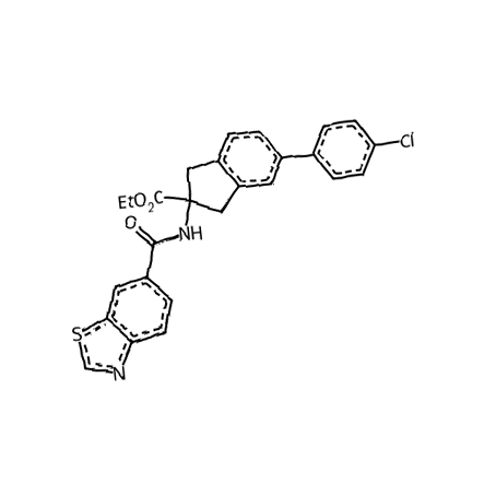 CCOC(=O)C1(NC(=O)c2ccc3ncsc3c2)Cc2ccc(-c3ccc(Cl)cc3)cc2C1